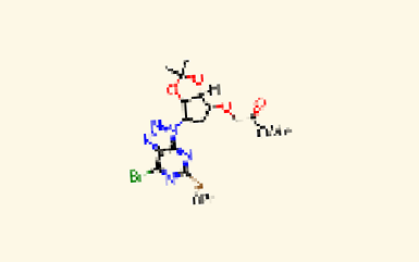 CCCSc1nc(Br)c2nnn([C@@H]3C[C@H](OCC(=O)OC)[C@H]4OC(C)(C)OC34)c2n1